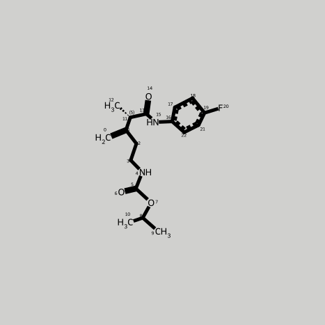 C=C(CCNC(=O)OC(C)C)[C@H](C)C(=O)Nc1ccc(F)cc1